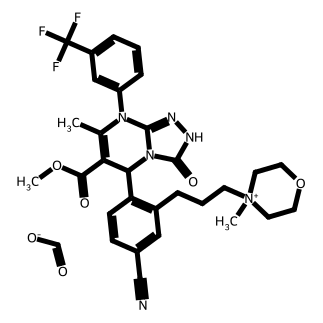 COC(=O)C1=C(C)N(c2cccc(C(F)(F)F)c2)c2n[nH]c(=O)n2C1c1ccc(C#N)cc1CCC[N+]1(C)CCOCC1.O=C[O-]